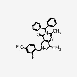 Cc1nc2c(c(=O)n1C(c1ccccc1)c1ccccc1)CN(Cc1ccc(C(F)(F)F)cc1F)CC2C